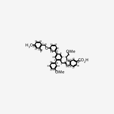 COCCn1c(Cc2ccc(-c3cccc(OCc4ccc(C)cc4F)n3)cc2-c2cccc(OC)c2)nc2ccc(C(=O)O)cc21